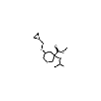 COC(=O)C1(NC(C)C)CCCC(OCC2CC2)C1